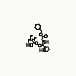 O=C(CNC(=O)[C@H]1CCCN1)OCc1ccccc1.O=C(O)C(F)(F)F